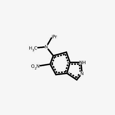 CC(C)N(C)c1cc2[nH]ncc2cc1[N+](=O)[O-]